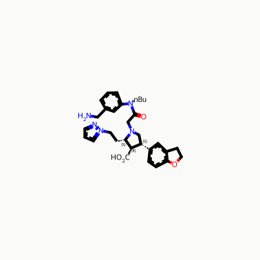 CCCCN(C(=O)CN1C[C@H](c2ccc3c(c2)CCO3)[C@@H](C(=O)O)[C@@H]1CCn1cccn1)c1cccc(CN)c1